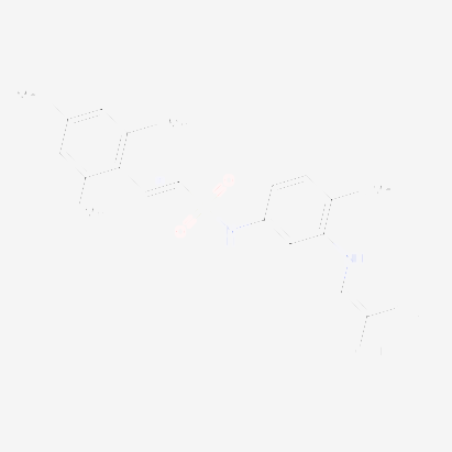 CCOC(=O)C(=CNc1cc(NS(=O)(=O)/C=C/c2c(OC)cc(OC)cc2OC)ccc1OC)C(=O)OCC